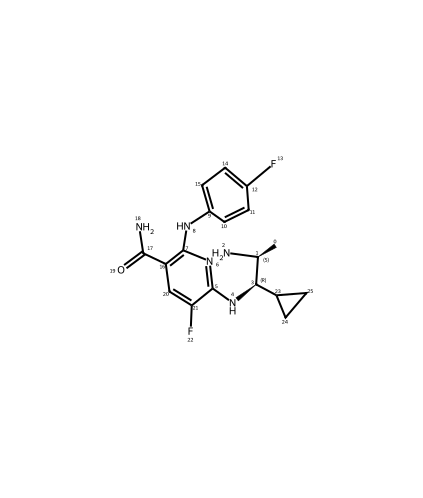 C[C@H](N)[C@H](Nc1nc(Nc2ccc(F)cc2)c(C(N)=O)cc1F)C1CC1